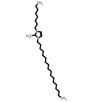 CCCCCCCCCCCCCCCCCCN1C=CN(CCCCCCCC)C1C